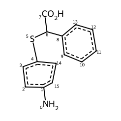 Nc1ccc(SC(C(=O)O)c2ccccc2)cc1